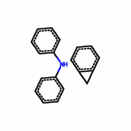 c1ccc(Nc2ccccc2)cc1.c1ccc2c(c1)C2